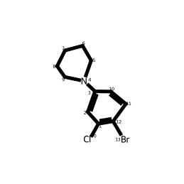 Clc1cc(N2CCCCC2)ccc1Br